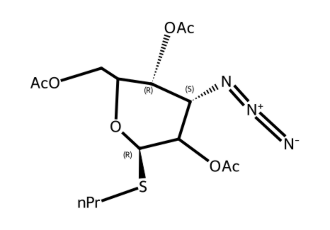 CCCS[C@H]1OC(COC(C)=O)[C@H](OC(C)=O)[C@H](N=[N+]=[N-])C1OC(C)=O